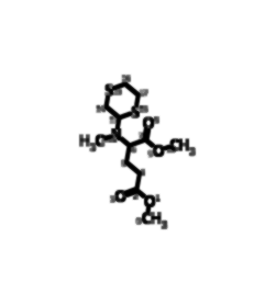 COC(=O)CCC(C(=O)OC)N(C)C1CSCCS1